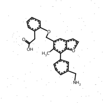 Cc1c(COc2ccccc2CC(=O)O)cc2ccoc2c1-c1cccc(CN)c1